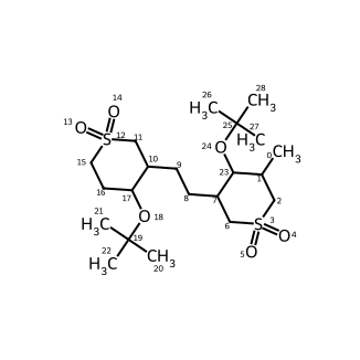 CC1CS(=O)(=O)CC(CCC2CS(=O)(=O)CCC2OC(C)(C)C)C1OC(C)(C)C